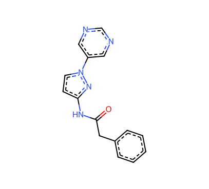 O=C(Cc1ccccc1)Nc1ccn(-c2cncnc2)n1